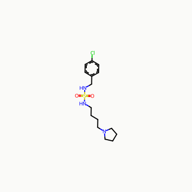 O=S(=O)(NCCCCN1CCCC1)NCc1ccc(Cl)cc1